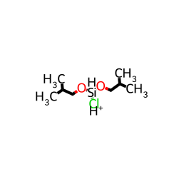 CC(C)CO[SiH](Cl)OCC(C)C.[H+]